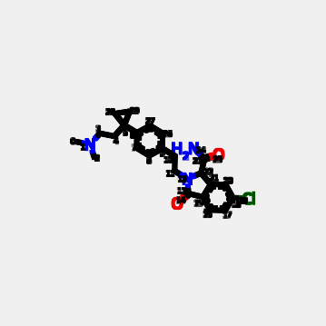 CN(C)CCC1(c2ccc(CCN3C(=O)c4[c]cc(Cl)cc4C3C(N)=O)cc2)CC1